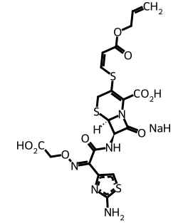 C=CCOC(=O)/C=C\SC1=C(C(=O)O)N2C(=O)[C@@H](NC(=O)/C(=N\OCC(=O)O)c3csc(N)n3)[C@H]2SC1.[NaH]